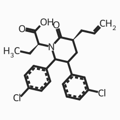 C=CC[C@H]1CC(c2cccc(Cl)c2)C(c2ccc(Cl)cc2)N([C@@H](CC)C(=O)O)C1=O